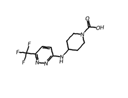 O=C(O)N1CCC(Nc2ccc(C(F)(F)F)nn2)CC1